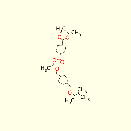 CC(C)OC(=O)C1CCC(C(=O)OC(C)OCC2CCC(COC(C)C(C)C)CC2)CC1